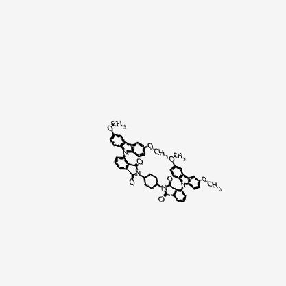 COc1ccc2c(c1)c1cc(OC)ccc1n2-c1cccc2c1C(=O)N(C1CCC(N3C(=O)c4cccc(-n5c6ccc(OC)cc6c6cc(OC)ccc65)c4C3=O)CC1)C2=O